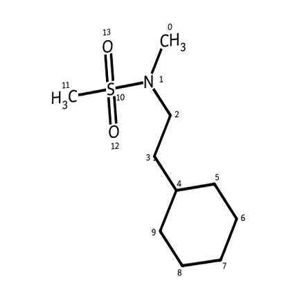 CN(C[CH]C1CCCCC1)S(C)(=O)=O